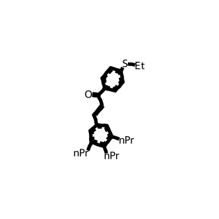 CCCc1cc(C=CC(=O)c2ccc(SCC)cc2)cc(CCC)c1CCC